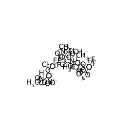 CC1COc2ccccc2N1C(=O)C(Cl)Cl.CCc1cccc(C)c1N(C(=O)CCl)C(C)COC.CS(=O)(=O)NC(=O)c1cc(Oc2ccc(C(F)(F)F)cc2Cl)ccc1[N+](=O)[O-].CS(=O)(=O)c1cc(C(F)(F)F)ccc1C(=O)c1cnoc1C1CC1